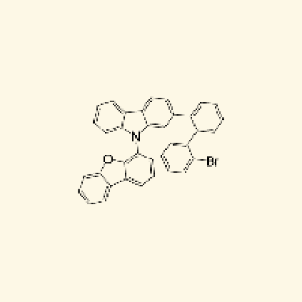 Brc1ccccc1-c1ccccc1-c1ccc2c3ccccc3n(-c3cccc4c3oc3ccccc34)c2c1